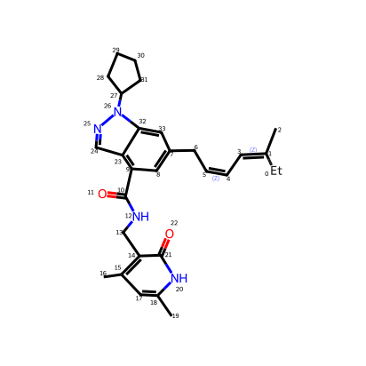 CC/C(C)=C\C=C/Cc1cc(C(=O)NCc2c(C)cc(C)[nH]c2=O)c2cnn(C3CCCC3)c2c1